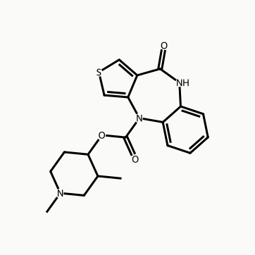 CC1CN(C)CCC1OC(=O)N1c2ccccc2NC(=O)c2cscc21